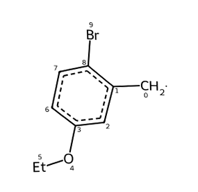 [CH2]c1cc(OCC)ccc1Br